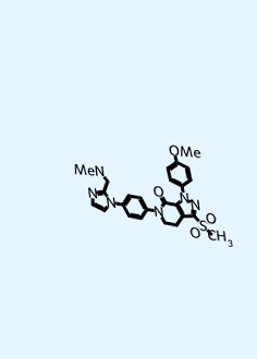 CNCc1nccn1-c1ccc(N2CCc3c(S(C)(=O)=O)nn(-c4ccc(OC)cc4)c3C2=O)cc1